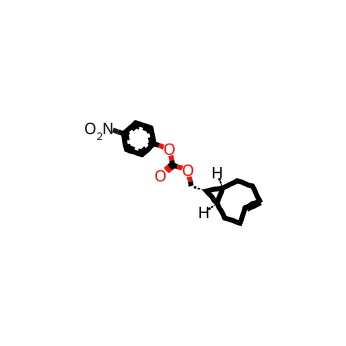 O=C(OC[C@H]1[C@@H]2CC/C=C/CC[C@@H]21)Oc1ccc([N+](=O)[O-])cc1